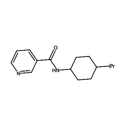 CC(C)C1CCC(NC(=O)c2cccnc2)CC1